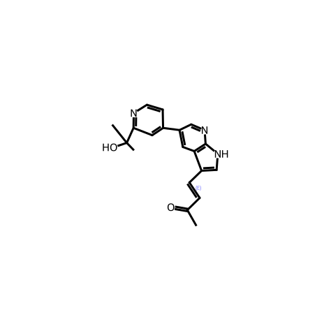 CC(=O)/C=C/c1c[nH]c2ncc(-c3ccnc(C(C)(C)O)c3)cc12